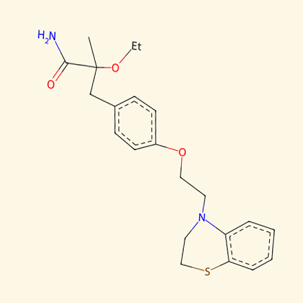 CCOC(C)(Cc1ccc(OCCN2CCSc3ccccc32)cc1)C(N)=O